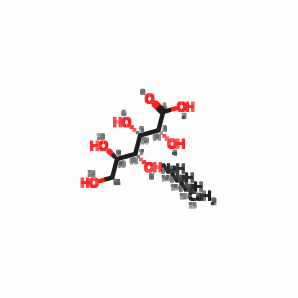 O=C(O)[C@H](O)[C@@H](O)[C@H](O)[C@H](O)CO.[CaH2].[NaH].[NaH].[NaH]